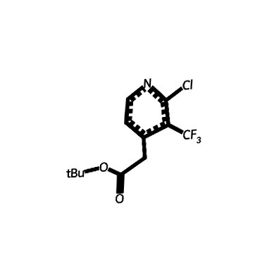 CC(C)(C)OC(=O)Cc1ccnc(Cl)c1C(F)(F)F